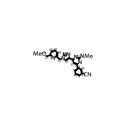 CNc1nc(-c2cccc(C#N)c2)cc(-c2cn(Cc3cccc(COC)n3)nn2)n1